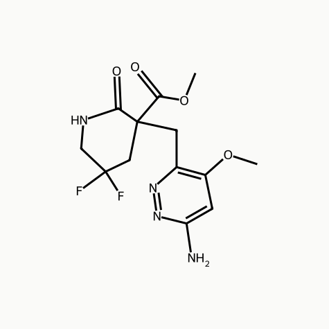 COC(=O)C1(Cc2nnc(N)cc2OC)CC(F)(F)CNC1=O